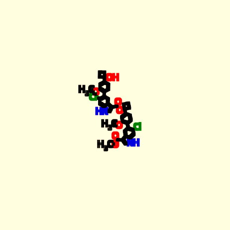 COC(=O)c1c[nH]c2cc(Cl)c(-c3ccc(C4(OC(=O)c5c[nH]c6cc(Cl)c(-c7ccc(C8(O)CCC8)cc7OC)cc56)CCC4)cc3OC)cc12